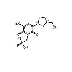 Cc1cn([C@H]2CC[C@@H](CO)O2)c(=O)n(OP(O)(O)=S)c1=O